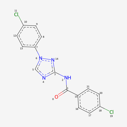 O=C(Nc1ncn(-c2ccc(Cl)cc2)n1)c1ccc(Cl)cc1